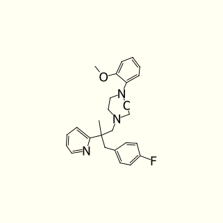 COc1ccccc1N1CCN(CC(C)(Cc2ccc(F)cc2)c2ccccn2)CC1